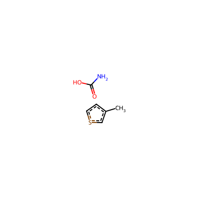 Cc1ccsc1.NC(=O)O